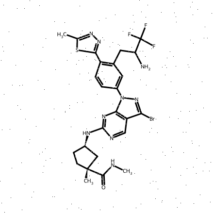 CNC(=O)[C@]1(C)CC[C@@H](Nc2ncc3c(Br)nn(-c4ccc(-c5nnc(C)s5)c(CC(N)C(F)(F)F)c4)c3n2)C1